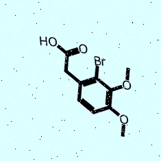 COc1ccc(CC(=O)O)c(Br)c1OC